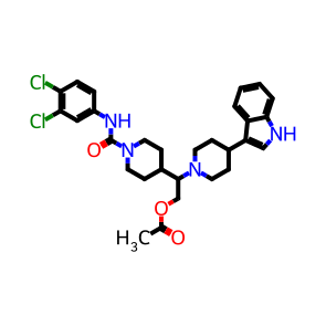 CC(=O)OCC(C1CCN(C(=O)Nc2ccc(Cl)c(Cl)c2)CC1)N1CCC(c2c[nH]c3ccccc23)CC1